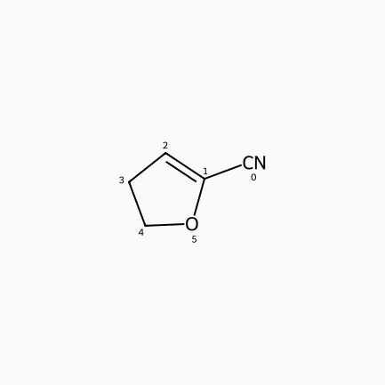 N#CC1=CCCO1